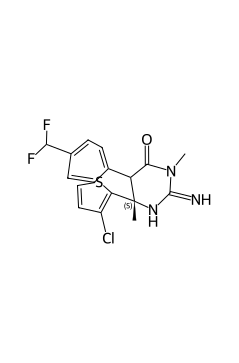 CN1C(=N)N[C@](C)(c2sccc2Cl)C(c2ccc(C(F)F)cc2)C1=O